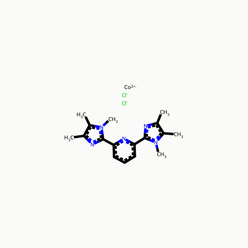 Cc1nc(-c2cccc(-c3nc(C)c(C)n3C)n2)n(C)c1C.[Cl-].[Cl-].[Co+2]